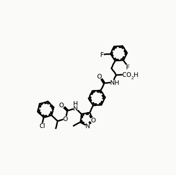 Cc1noc(-c2ccc(C(=O)NC(Cc3c(F)cccc3F)C(=O)O)cc2)c1NC(=O)OC(C)c1ccccc1Cl